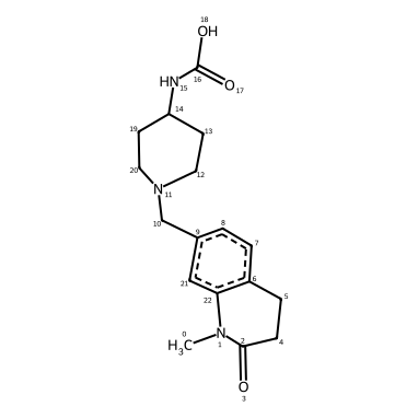 CN1C(=O)CCc2ccc(CN3CCC(NC(=O)O)CC3)cc21